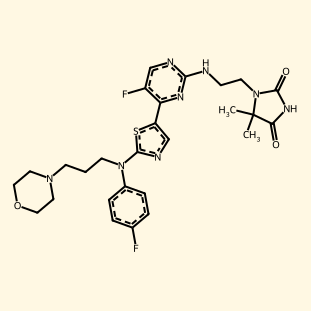 CC1(C)C(=O)NC(=O)N1CCNc1ncc(F)c(-c2cnc(N(CCCN3CCOCC3)c3ccc(F)cc3)s2)n1